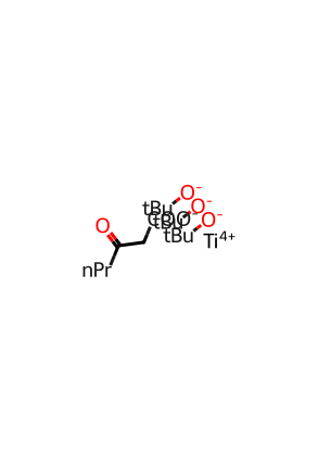 CC(C)(C)[O-].CC(C)(C)[O-].CC(C)(C)[O-].CCCC(=O)CC(=O)[O-].[Ti+4]